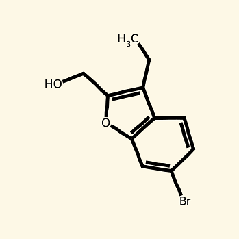 CCc1c(CO)oc2cc(Br)ccc12